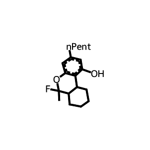 CCCCCc1cc(O)c2c(c1)OC(C)(F)C1CCCCC21